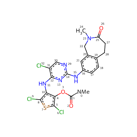 CNC(=O)Oc1c(Cl)sc(Cl)c1Nc1nc(Nc2ccc3c(c2)CN(C)C(=O)CC3)ncc1Cl